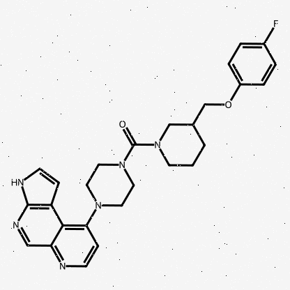 O=C(N1CCN(c2ccnc3cnc4[nH]ccc4c23)CC1)N1CCCC(COc2ccc(F)cc2)C1